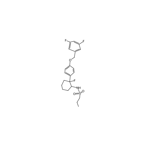 CCCS(=O)(=O)NC1CCCCC1(F)c1ccc(OCc2cc(F)cc(F)c2)cc1